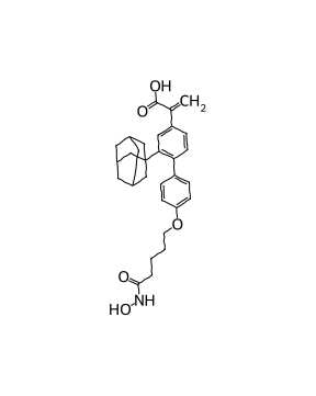 C=C(C(=O)O)c1ccc(-c2ccc(OCCCCC(=O)NO)cc2)c(C23CC4CC(CC(C4)C2)C3)c1